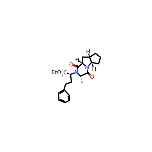 CCOC(=O)[C@H](CCc1ccccc1)N1C(=O)[C@@H]2C[C@@H]3CCC[C@@H]3N2C(=O)[C@@H]1C